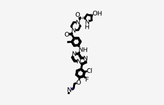 C/N=C/COc1ccc(-c2cnc3c(Nc4ccc(C(=O)N5CCN(C(=O)[C@@H]6C[C@@H](O)CN6)CC5)c(C)c4)nccn23)c(Cl)c1F